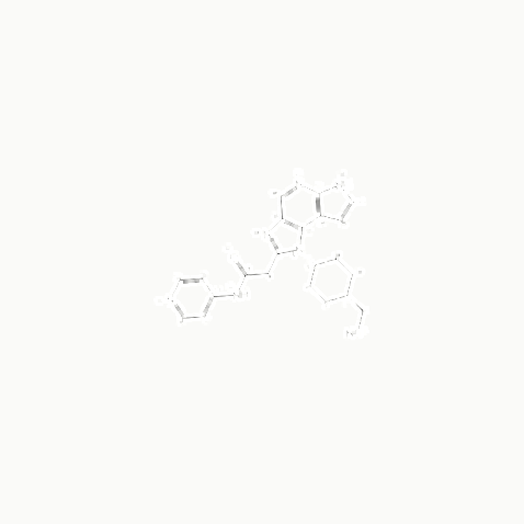 N#CC[C@H]1CC[C@H](n2c(CC(=O)Nc3ccncc3)nc3cnc4[nH]ccc4c32)CC1